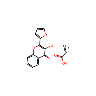 C=CC(=O)O.O=c1c(O)c(-c2ccco2)oc2ccccc12